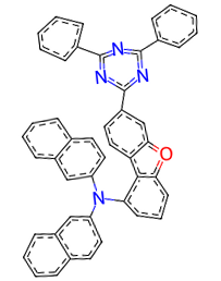 c1ccc(-c2nc(-c3ccccc3)nc(-c3ccc4c(c3)oc3cccc(N(c5ccc6ccccc6c5)c5ccc6ccccc6c5)c34)n2)cc1